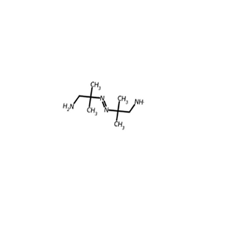 CC(C)(C[NH])N=NC(C)(C)CN